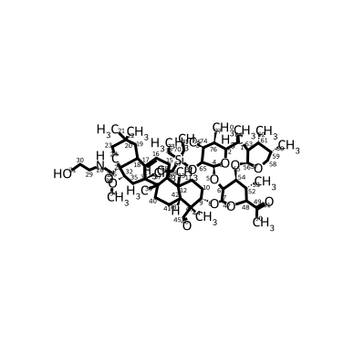 CCC1O[C@@H](OC2[C@H](O[C@H]3CCC4(C)C5CC=C6C7CC(C)(C)CC[C@]7(C(=O)NCCO)[C@@H](OC)C[C@@]6(C)C5(C)CC[C@H]4[C@@]3(C)C=O)OC(C(C)=O)[C@@H](C)[C@@H]2O[C@@H]2OC[C@@H](C)[C@@H](C)C2C)C(O[Si](CC)(CC)CC)[C@@H](C)[C@H]1C